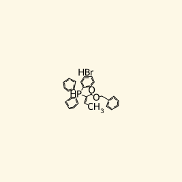 Br.CC=C(C(=O)OCc1ccccc1)[PH](c1ccccc1)(c1ccccc1)c1ccccc1